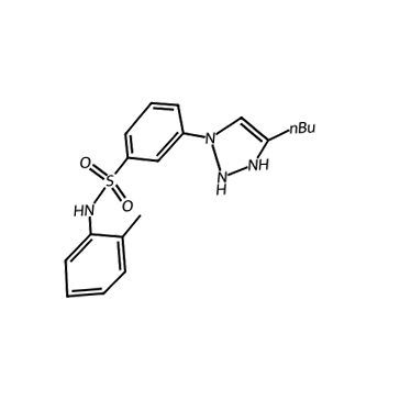 CCCCC1=CN(c2cccc(S(=O)(=O)Nc3ccccc3C)c2)NN1